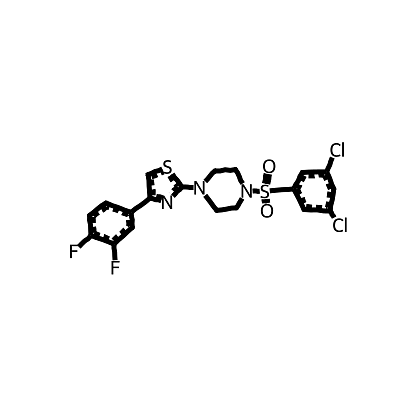 O=S(=O)(c1cc(Cl)cc(Cl)c1)N1CCN(c2nc(-c3ccc(F)c(F)c3)cs2)CC1